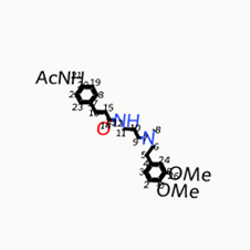 COc1ccc(CCN(C)CCCNC(=O)/C=C/c2ccc(NC(C)=O)cc2)cc1OC